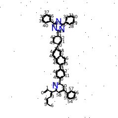 C=C/C(=C\C=C/C)C1=NC(c2ccc(-c3ccc4cc(C5=CCC(c6nc(-c7ccccc7)nc(-c7ccccc7)n6)C=C5)ccc4c3)cc2)CC(c2ccccc2)=C1